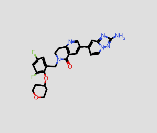 Nc1nc2cc(-c3cnc4c(c3)C(=O)N(Cc3cc(F)cc(F)c3OC3CCOCC3)CC4)ccn2n1